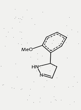 COc1ccccc1C1CC=NN1